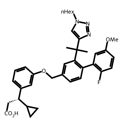 CCCCCCn1cc(C(C)(C)c2cc(COc3cccc([C@@H](CC(=O)O)C4CC4)c3)ccc2-c2cc(OC)ccc2F)nn1